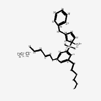 CCCCCCc1cc(CCCCCC)cc([Si](C)(C)[C]2([Ti+3])C=CC(Cc3ccccc3)=C2)c1.[Cl-].[Cl-].[Cl-]